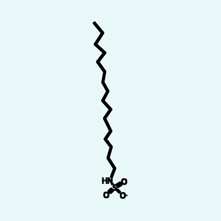 CCCCCCCCCCCCCCCCNS([O])(=O)=O